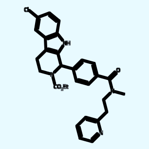 CCOC(=O)N1CCc2c([nH]c3ccc(Cl)cc23)C1c1ccc(C(=O)N(C)CCc2ccccn2)cc1